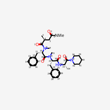 CNC(=O)C[C@H](C)C(=O)N(C)[C@@H](Cc1ccccc1)C(=O)N(C)[C@@H](Cc1ccccc1)C(=O)N[C@@H](C)C(=O)N1CCCCC1